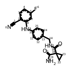 N#Cc1ccc(F)cc1Nc1ccc(CNC(=O)C2(C(N)=O)CC2)cc1